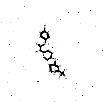 C[C@@H](C(=O)Nc1ccc(Cl)cc1)[C@H]1CC[C@H](Oc2ccnc(C(F)(F)F)c2)CC1